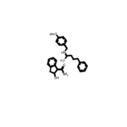 COc1ccc(CNC(C)CCCc2ccccc2)cc1.NC(=O)C1c2ccccc2CC1O